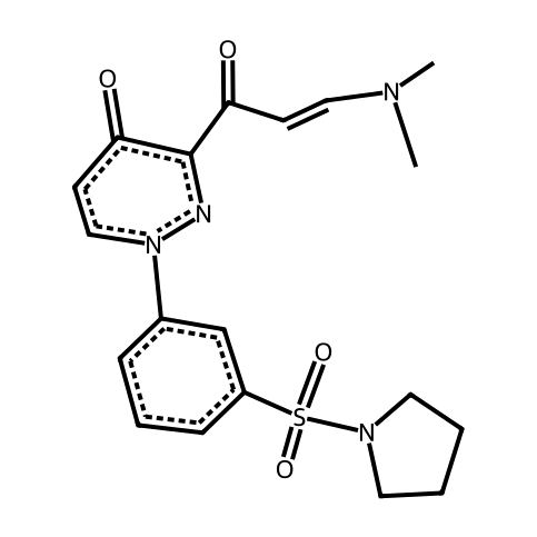 CN(C)/C=C/C(=O)c1nn(-c2cccc(S(=O)(=O)N3CCCC3)c2)ccc1=O